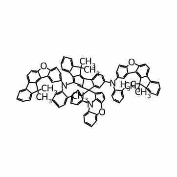 Cc1ccccc1N(c1ccc2c(c1)C1(c3ccccc3N3c4ccccc4Oc4cccc1c43)c1cc(N(c3ccc4oc5ccc6c(c5c4c3)C(C)(C)c3ccccc3-6)c3ccccc3C)c3c(c1-2)C(C)(C)c1ccccc1-3)c1ccc2oc3ccc4c(c3c2c1)C(C)(C)c1ccccc1-4